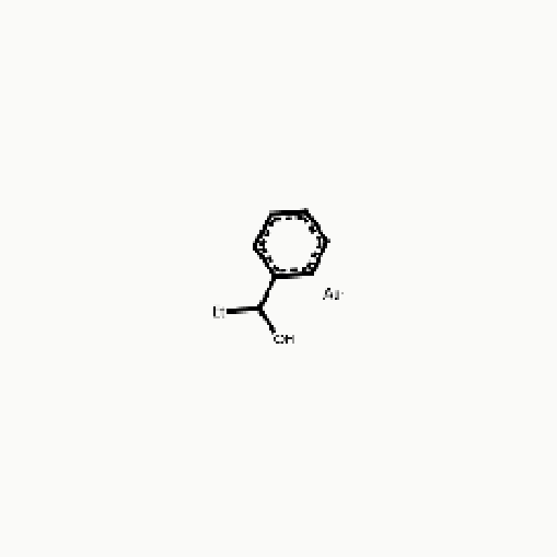 CCC(O)c1ccccc1.[Au]